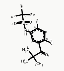 CC(C)(C)C(=O)c1cc(NS(=O)(=O)C(F)(F)F)c(F)cc1Cl